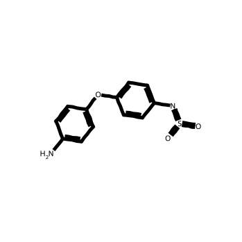 Nc1ccc(Oc2ccc(N=S(=O)=O)cc2)cc1